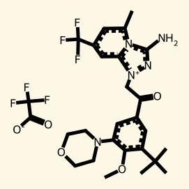 COc1c(N2CCOCC2)cc(C(=O)C[n+]2nc(N)n3c(C)cc(C(F)(F)F)cc32)cc1C(C)(C)C.O=C([O-])C(F)(F)F